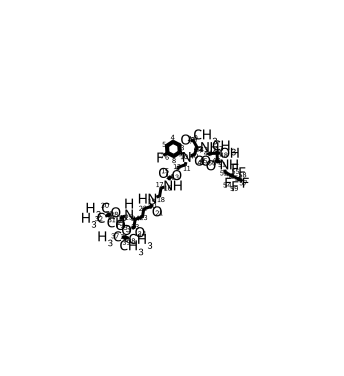 C[C@H]1Oc2ccc(F)cc2N(CCOC(=O)NCCNC(=O)CCC(NC(=O)OC(C)(C)C)C(=O)OC(C)(C)C)C(=O)[C@H]1NC(=O)C(C)(O)C(=O)NCC(F)(F)C(F)(F)F